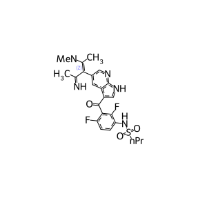 CCCS(=O)(=O)Nc1ccc(F)c(C(=O)c2c[nH]c3ncc(/C(C(C)=N)=C(\C)NC)cc23)c1F